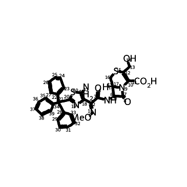 CON=C(C(=O)N[C@@H]1C(=O)N2C(C(=O)O)=C(CO)SC[C@H]12)c1nc(C(c2ccccc2)(c2ccccc2)c2ccccc2)sc1N